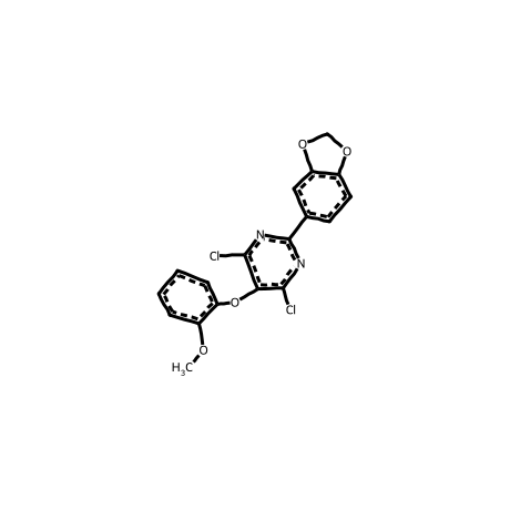 COc1ccccc1Oc1c(Cl)nc(-c2ccc3c(c2)OCO3)nc1Cl